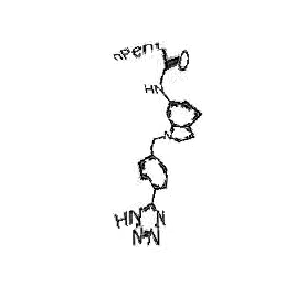 CCCCCC(=O)Nc1ccc2ccn(Cc3ccc(-c4nnn[nH]4)cc3)c2c1